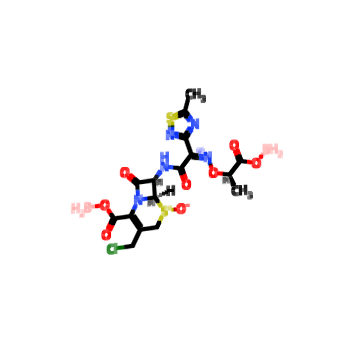 BOC(=O)C1=C(CCl)C[S+]([O-])[C@@H]2[C@H](NC(=O)/C(=N\O[C@H](C)C(=O)OB)c3nsc(C)n3)C(=O)N12